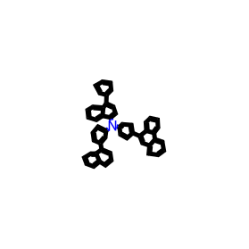 c1ccc(-c2ccc(N(c3ccc(-c4cc5ccccc5c5ccccc45)cc3)c3cccc(-c4cccc5ccccc45)c3)c3ccccc23)cc1